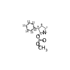 COC(=O)O[C@H]1[N]CC[C@@H]1c1ccccc1